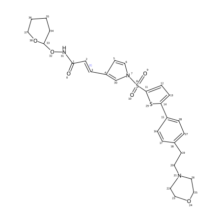 O=C(/C=C/c1ccn(S(=O)(=O)c2ccc(-c3ccc(CCN4CCOCC4)cc3)s2)c1)NOC1CCCCO1